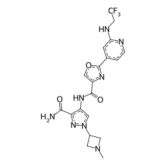 CN1CC(n2cc(NC(=O)c3coc(-c4ccnc(NCC(F)(F)F)c4)n3)c(C(N)=O)n2)C1